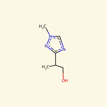 CC(CO)c1ncn(C)n1